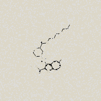 CCCOCCCNC(=O)C1CN(S(=O)(=O)c2c(C(N)=O)[nH]c3ccc(Br)cc23)CCO1